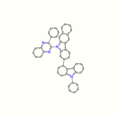 c1ccc(-c2nc3ccccc3nc2-n2c3cc(-c4cccc5c4c4ccccc4n5-c4ccccc4)ccc3c3cc4ccccc4cc32)cc1